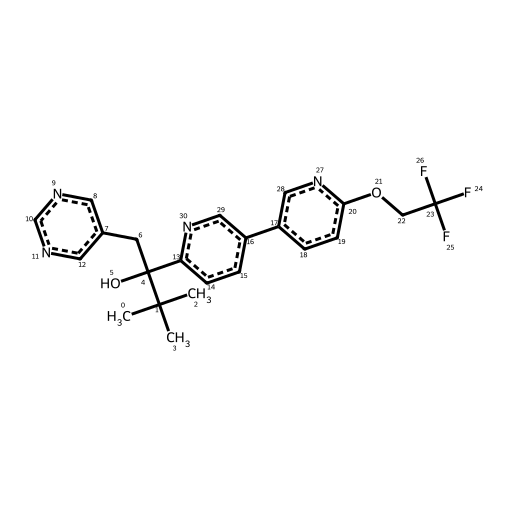 CC(C)(C)C(O)(Cc1cncnc1)c1ccc(-c2ccc(OCC(F)(F)F)nc2)cn1